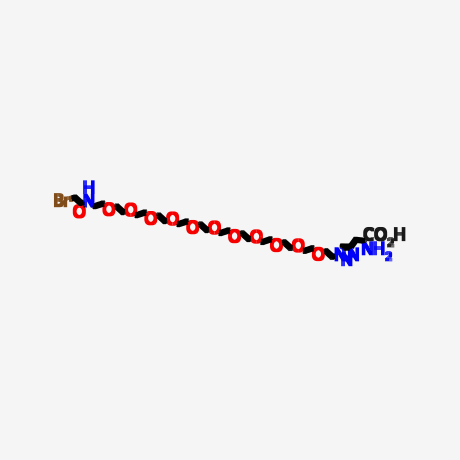 NC(Cc1cn(CCOCCOCCOCCOCCOCCOCCOCCOCCOCCOCCOCCNC(=O)CBr)nn1)C(=O)O